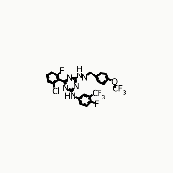 Fc1ccc(Nc2nc(N/N=C/c3ccc(OC(F)(F)F)cc3)nc(-c3c(F)cccc3Cl)n2)cc1C(F)(F)F